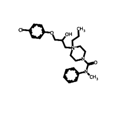 CCC[N+]1(CC(O)COc2ccc(Cl)cc2)CCN(C(=O)N(C)c2ccccc2)CC1